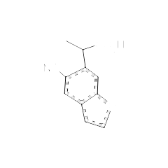 CC(C(=O)O)c1cc2occc2cc1C#N